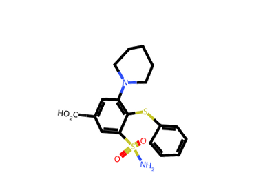 NS(=O)(=O)c1cc(C(=O)O)cc(N2CCCCC2)c1Sc1ccccc1